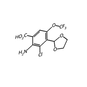 Nc1c(C(=O)O)cc(OC(F)(F)F)c(C2OCCO2)c1Cl